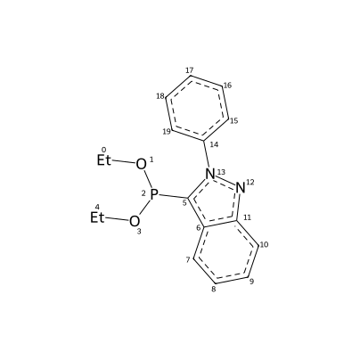 CCOP(OCC)c1c2ccccc2nn1-c1ccccc1